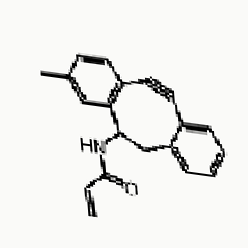 C=CC(=O)NC1Cc2ccccc2C#Cc2ccc(C)cc21